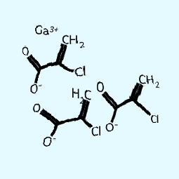 C=C(Cl)C(=O)[O-].C=C(Cl)C(=O)[O-].C=C(Cl)C(=O)[O-].[Ga+3]